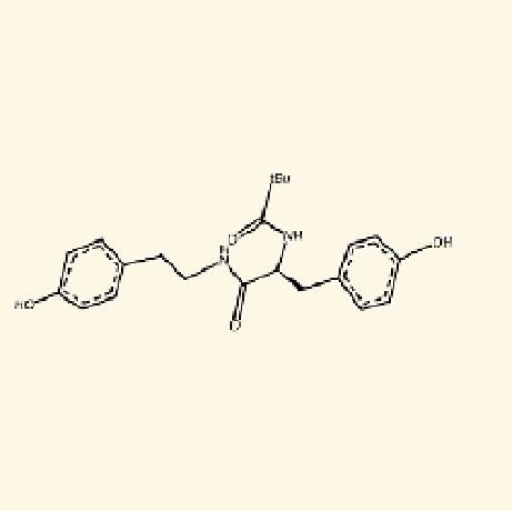 CC(C)(C)C(=O)N[C@@H](Cc1ccc(O)cc1)C(=O)NCCc1ccc(O)cc1